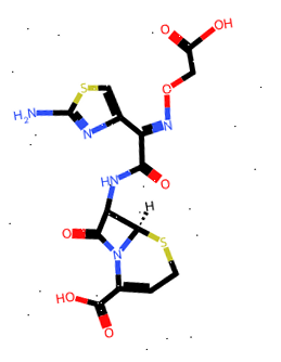 Nc1nc(/C(=N\OCC(=O)O)C(=O)NC2C(=O)N3C(C(=O)O)=CCS[C@H]23)cs1